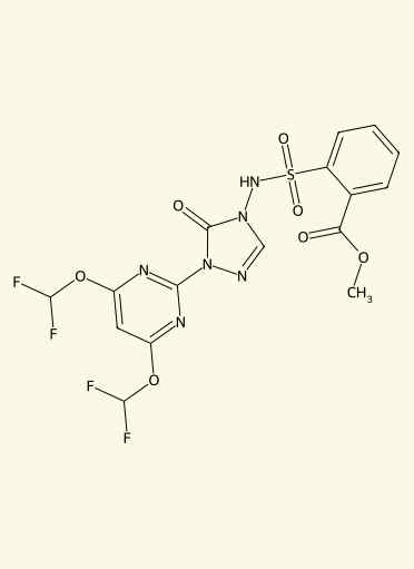 COC(=O)c1ccccc1S(=O)(=O)Nn1cnn(-c2nc(OC(F)F)cc(OC(F)F)n2)c1=O